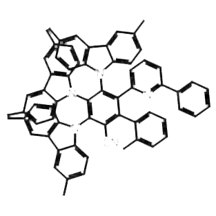 Cc1ccc2c(c1)c1cc(C)ccc1n2-c1c(C#N)c(-c2ccccc2C)c(-c2cccc(-c3ccccc3)n2)c(-n2c3ccc(C)cc3c3cc(C)ccc32)c1-n1c2ccc(C)cc2c2cc(C)ccc21